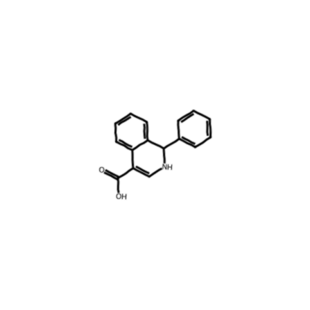 O=C(O)C1=CNC(c2ccccc2)c2ccccc21